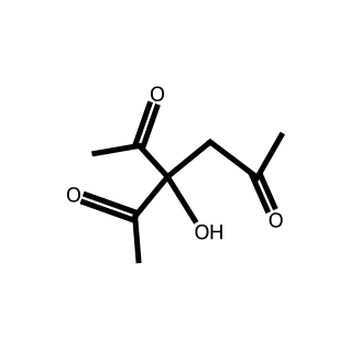 CC(=O)CC(O)(C(C)=O)C(C)=O